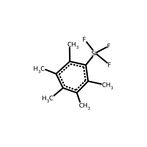 Cc1c(C)c(C)c([Si](F)(F)F)c(C)c1C